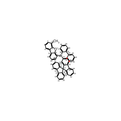 Cc1cccc2c1oc1c(N(c3ccc4c(c3)C3(c5ccccc5-c5ccccc53)c3ccccc3-4)c3ccccc3-c3ccccc3)cccc12